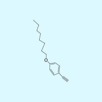 C#Cc1ccc(OCCCCCCCC)cc1